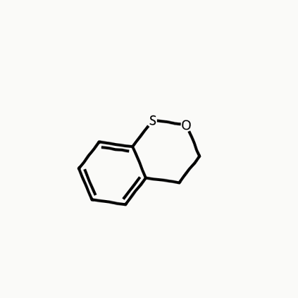 c1ccc2c(c1)CCOS2